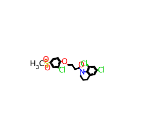 CS(=O)(=O)c1ccc(OCCCC(=O)N2CCCc3cc(Cl)cc(Cl)c32)c(Cl)c1